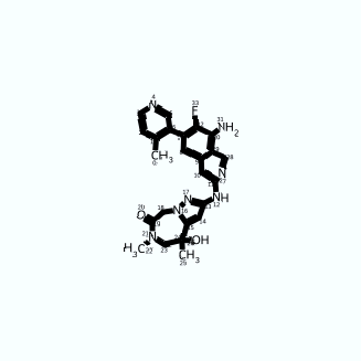 Cc1ccncc1-c1cc2cc(Nc3cc4n(n3)CC(=O)N(C)CC4(C)O)ncc2c(N)c1F